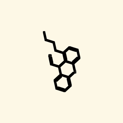 CCCCc1cccc2c1C(C=O)c1ccccc1S2